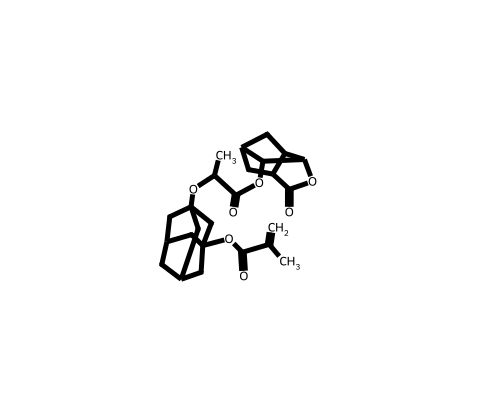 C=C(C)C(=O)OC12CC3CC(C1)CC(OC(C)C(=O)OC1C4CC5C(=O)OC1C5C4)(C3)C2